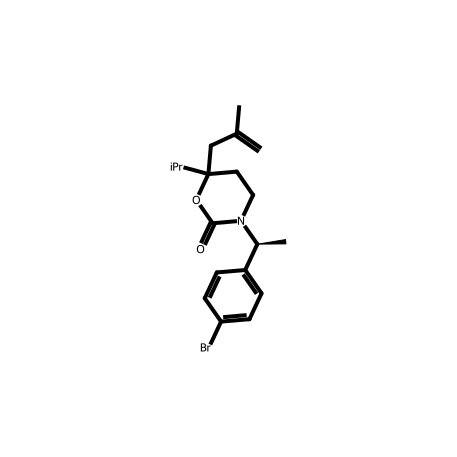 C=C(C)CC1(C(C)C)CCN([C@@H](C)c2ccc(Br)cc2)C(=O)O1